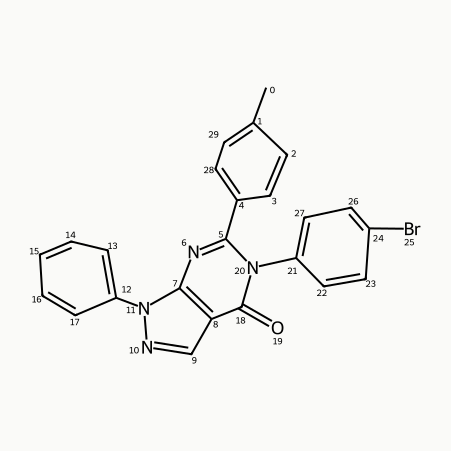 Cc1ccc(-c2nc3c(cnn3-c3ccccc3)c(=O)n2-c2ccc(Br)cc2)cc1